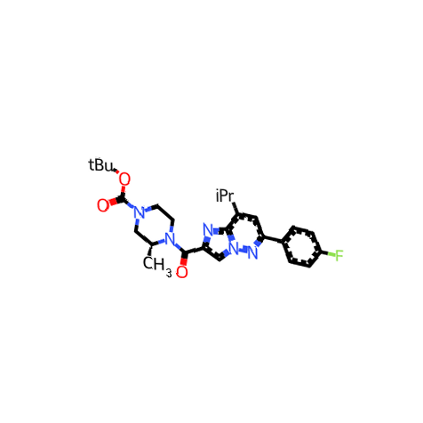 CC(C)c1cc(-c2ccc(F)cc2)nn2cc(C(=O)N3CCN(C(=O)OC(C)(C)C)C[C@@H]3C)nc12